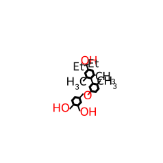 CCC(O)(CC)c1cc(C)c(-c2cc(OCc3ccc(CO)c(CO)c3)ccc2C)c(C)c1